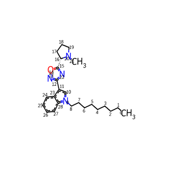 CCCCCCCCCn1cc(-c2noc([C@@H]3CCCN3C)n2)c2ccccc21